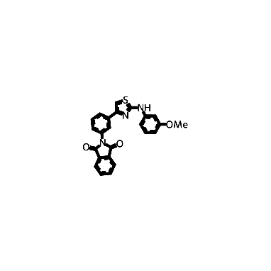 COc1cccc(Nc2nc(-c3cccc(N4C(=O)c5ccccc5C4=O)c3)cs2)c1